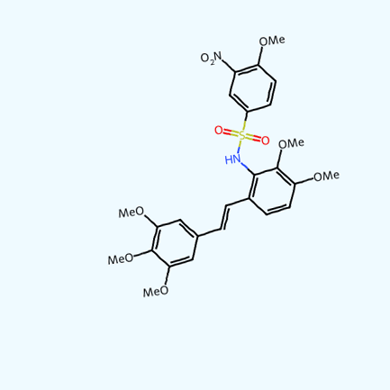 COc1ccc(S(=O)(=O)Nc2c(C=Cc3cc(OC)c(OC)c(OC)c3)ccc(OC)c2OC)cc1[N+](=O)[O-]